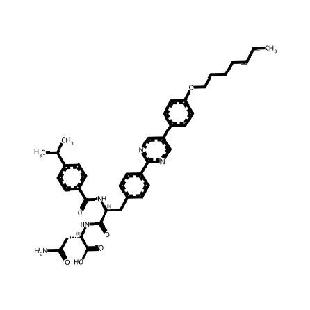 CCCCCCCOc1ccc(-c2cnc(-c3ccc(C[C@H](NC(=O)c4ccc(C(C)C)cc4)C(=O)N[C@@H](CC(N)=O)C(=O)O)cc3)nc2)cc1